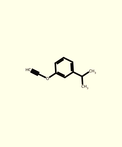 C#COc1cccc(C(C)C)c1